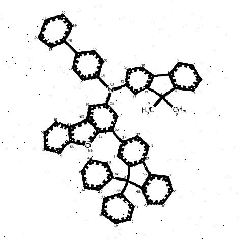 CC1(C)c2ccccc2-c2ccc(N(c3ccc(-c4ccccc4)cc3)c3cc(-c4ccc5c(c4)C(c4ccccc4)(c4ccccc4)c4ccccc4-5)c4oc5ccccc5c4c3)cc21